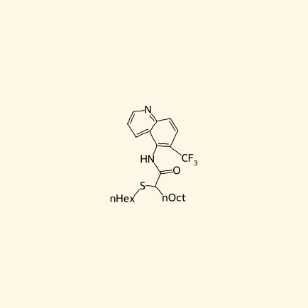 CCCCCCCCC(SCCCCCC)C(=O)Nc1c(C(F)(F)F)ccc2ncccc12